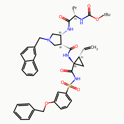 C=C[C@@H]1C[C@]1(NC(=O)[C@@H]1CN(Cc2ccc3ccccc3c2)C[C@@H]1NC(=O)[C@@H](NC(=O)OC(C)(C)C)C(C)C)C(=O)NS(=O)(=O)c1cccc(OCc2ccccc2)c1